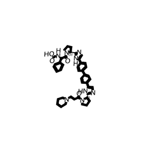 O=C(O)N[C@@H](C(=O)N1CCC[C@H]1c1ncc(-c2ccc(-c3ccc(-c4cnc([C@@H]5CCCN5C(=O)CCN5CCCCC5)[nH]4)cc3)cc2)[nH]1)c1ccccc1